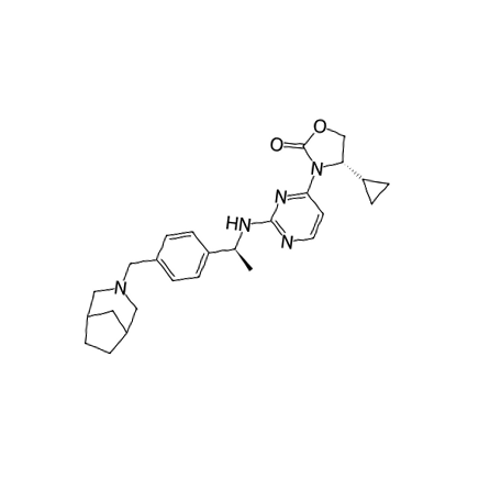 C[C@H](Nc1nccc(N2C(=O)OC[C@@H]2C2CC2)n1)c1ccc(CN2CC3CCC(C3)C2)cc1